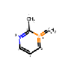 C=P1=CC=CN=C1C